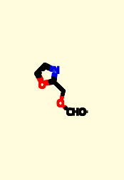 O=[C]OCc1ncco1